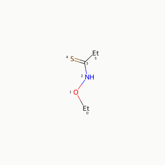 CCONC(=S)CC